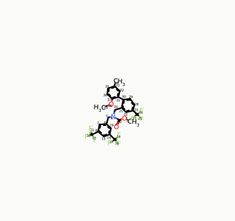 COC(=O)N(Cc1cc(C(F)(F)F)cc(C(F)(F)F)c1)Cc1cc(C(F)(F)F)ccc1-c1cc(C)ccc1OC